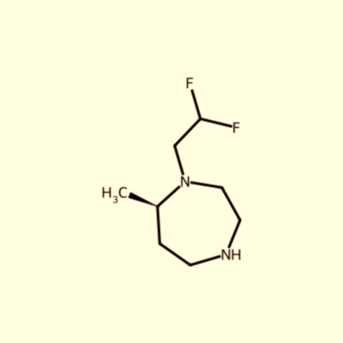 C[C@@H]1CCNCCN1CC(F)F